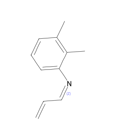 C=C/C=N\c1cccc(C)c1C